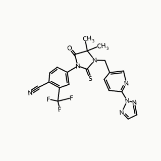 CC1(C)C(=O)N(c2ccc(C#N)c(C(F)(F)F)c2)C(=S)N1Cc1ccc(-n2nccn2)nc1